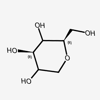 OC[C@H]1OCC(O)[C@@H](O)C1O